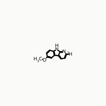 [2H]c1ccc2c(n1)[nH]c1ccc(OC)cc12